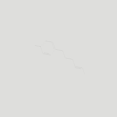 CCC=CCCCc1ccc(O)cc1